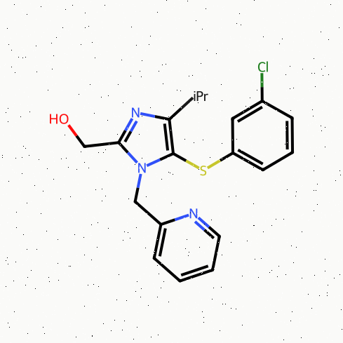 CC(C)c1nc(CO)n(Cc2ccccn2)c1Sc1cccc(Cl)c1